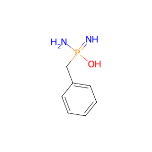 N=P(N)(O)Cc1ccccc1